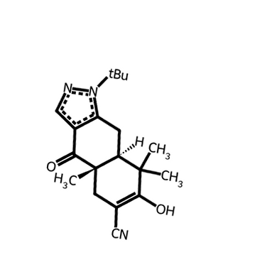 CC1(C)C(O)=C(C#N)C[C@]2(C)C(=O)c3cnn(C(C)(C)C)c3C[C@@H]12